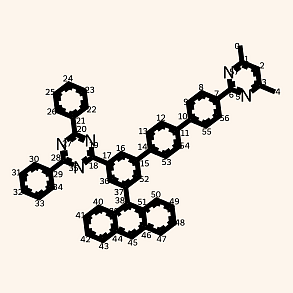 Cc1cc(C)nc(-c2ccc(-c3ccc(-c4cc(-c5nc(-c6ccccc6)nc(-c6ccccc6)n5)cc(-c5c6ccccc6cc6ccccc56)c4)cc3)cc2)n1